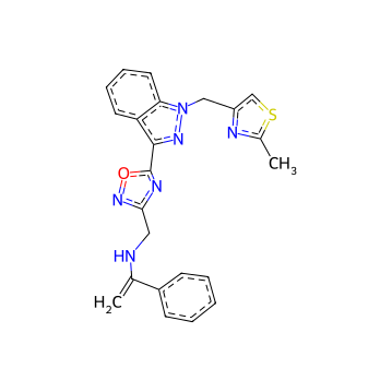 C=C(NCc1noc(-c2nn(Cc3csc(C)n3)c3ccccc23)n1)c1ccccc1